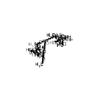 CCCOCCOCCOCCOCCC(=O)N(CCCCCCN(C)C(=O)CO[C@@H]([C@@H]1OC(C(=O)O)=C[C@H](NC(=N)N)[C@H]1NC(C)=O)[C@H](O)CO)CCOCCN(C)C(=O)O[C@@H]([C@@H]1OC(C(=O)O)=C[C@H](NC(=N)N)[C@H]1C)[C@H](O)CO